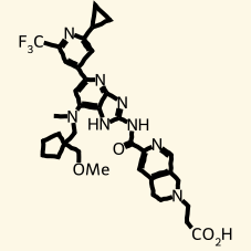 COCC1(CN(C)c2cc(-c3cc(C4CC4)nc(C(F)(F)F)c3)nc3nc(NC(=O)c4cc5c(cn4)CN(CCC(=O)O)CC5)[nH]c23)CCCC1